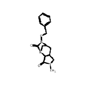 CN1CC2CC3CN(C(=O)N3OCc3ccccc3)C2C1=O